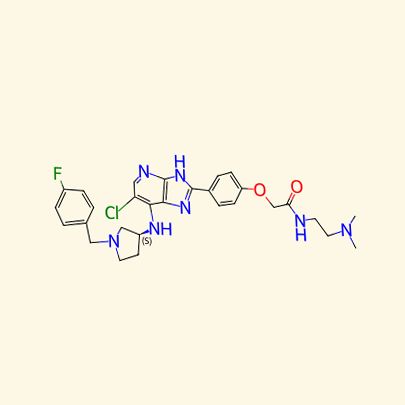 CN(C)CCNC(=O)COc1ccc(-c2nc3c(N[C@H]4CCN(Cc5ccc(F)cc5)C4)c(Cl)cnc3[nH]2)cc1